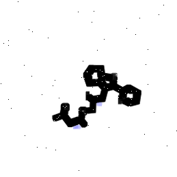 CC(=O)/C=C(/C)OC/C(I)=C/c1c(-c2ccccn2)sc2ccccc12